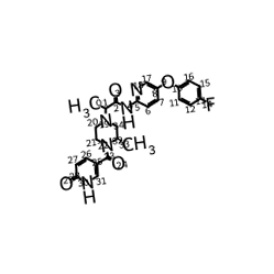 CC(C(=O)Nc1ccc(Oc2ccc(F)cc2)cn1)N1CCN(C(=O)c2ccc(=O)[nH]c2)[C@H](C)C1